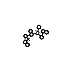 CC1(C)c2c(cccc2-c2ccc(-c3cc(-c4ccccc4-c4cccc5ccccc45)nc(-c4ccccc4)n3)c3ccccc23)-c2ccc3ccccc3c21